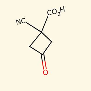 N#CC1(C(=O)O)CC(=O)C1